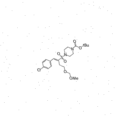 COCOCC/C(=C\c1ccc(Cl)cc1)S(=O)(=O)N1CCN(C(=O)OC(C)(C)C)CC1